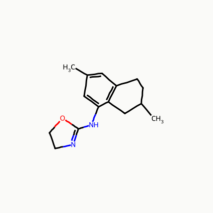 Cc1cc2c(c(NC3=NCCO3)c1)CC(C)CC2